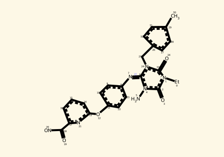 CCn1c(=O)n(N)/c(=N\c2ccc(Oc3cccc(C(=O)N=O)n3)cc2)n(Cc2ccc(C)cc2)c1=O